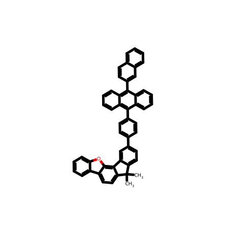 CC1(C)c2ccc(-c3ccc(-c4c5ccccc5c(-c5ccc6ccccc6c5)c5ccccc45)cc3)cc2-c2c1ccc1c2oc2ccccc21